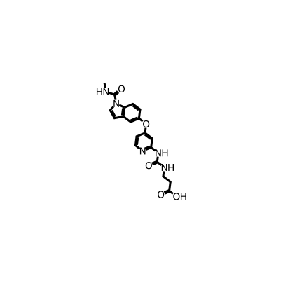 CNC(=O)n1ccc2cc(Oc3ccnc(NC(=O)NCCC(=O)O)c3)ccc21